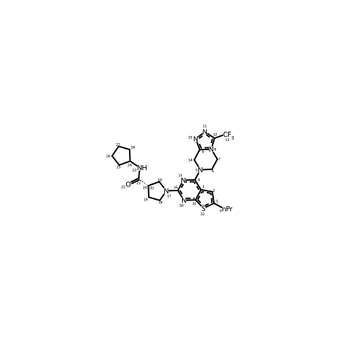 CCCc1cc2c(N3CCn4c(nnc4C(F)(F)F)C3)nc(N3CC[C@H](C(=O)NC4CCCC4)C3)nc2s1